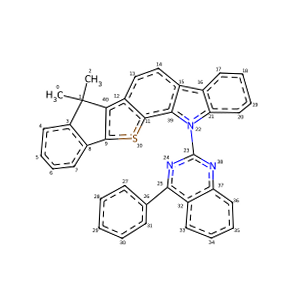 CC1(C)c2ccccc2-c2sc3c(ccc4c5ccccc5n(-c5nc(-c6ccccc6)c6ccccc6n5)c43)c21